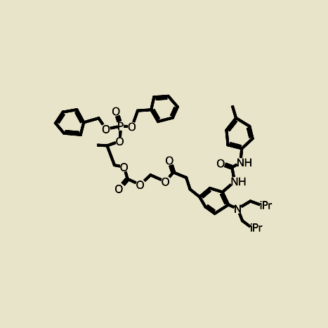 Cc1ccc(NC(=O)Nc2cc(CCC(=O)OCOC(=O)OCC(C)OP(=O)(OCc3ccccc3)OCc3ccccc3)ccc2N(CC(C)C)CC(C)C)cc1